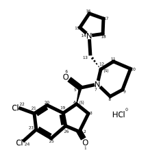 Cl.O=C1C[C@H](C(=O)N2CCCC[C@H]2CN2CCCC2)c2cc(Cl)c(Cl)cc21